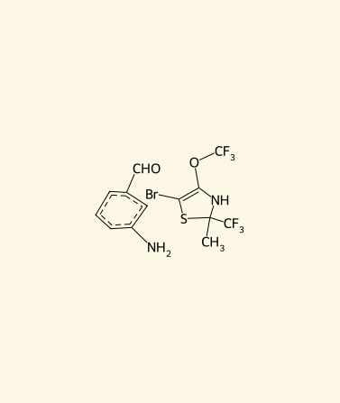 CC1(C(F)(F)F)NC(OC(F)(F)F)=C(Br)S1.Nc1cccc(C=O)c1